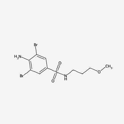 COCCCNS(=O)(=O)c1cc(Br)c(N)c(Br)c1